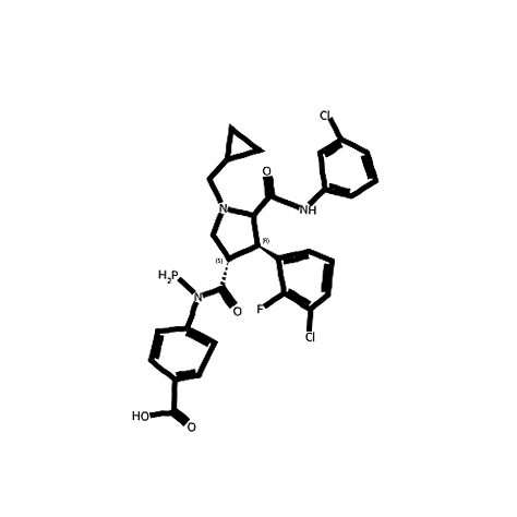 O=C(O)c1ccc(N(P)C(=O)[C@@H]2CN(CC3CC3)C(C(=O)Nc3cccc(Cl)c3)[C@H]2c2cccc(Cl)c2F)cc1